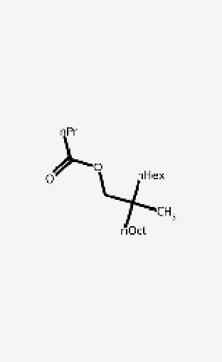 CCCCCCCCC(C)(CCCCCC)COC(=O)CCC